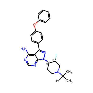 CC(C)C(C)(C)N1CC[C@@H](n2nc(-c3ccc(Oc4ccccc4)cc3)c3c(N)ncnc32)[C@H](F)C1